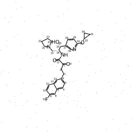 O=C(CCc1ccc2cc(F)ccc2c1)C(=O)N[C@H](CN1CCCC1)[C@H](O)c1ccc(OC2CC2)nc1